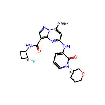 CNc1cc(Nc2cccn([C@H]3CCCOC3)c2=O)nc2c(C(=O)NC3CC[C@H]3F)cnn12